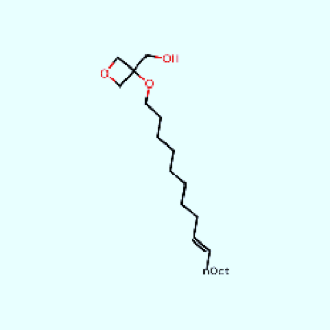 CCCCCCCCC=CCCCCCCCCOC1(CO)COC1